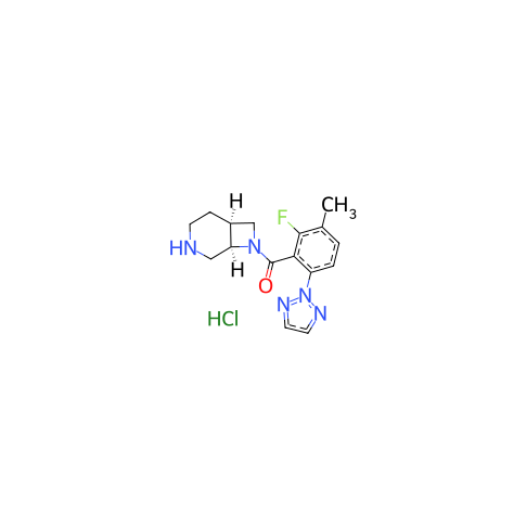 Cc1ccc(-n2nccn2)c(C(=O)N2C[C@@H]3CCNC[C@@H]32)c1F.Cl